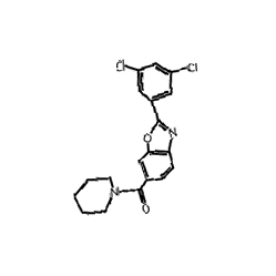 O=C(c1ccc2nc(-c3cc(Cl)cc(Cl)c3)oc2c1)N1CCCCC1